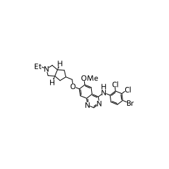 CCN1C[C@H]2CC(COc3cc4ncnc(Nc5ccc(Br)c(Cl)c5Cl)c4cc3OC)C[C@H]2C1